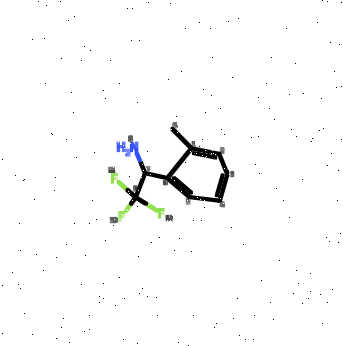 Cc1c[c]ccc1C(N)C(F)(F)F